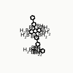 Bc1c(B)c(B)c2c(-c3ccc(-c4ccc(-n5c(C(B)(B)C(B)(B)B)nc6ccccc65)cc4)cc3)c3c(B)c(B)c(B)c(B)c3c(-c3ccc(-c4ccccc4)cc3)c2c1B